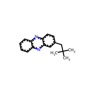 CC(C)(C)Cc1ccc2nc3ccccc3nc2c1